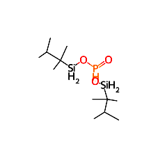 CC(C)C(C)(C)[SiH2]O[PH](=O)O[SiH2]C(C)(C)C(C)C